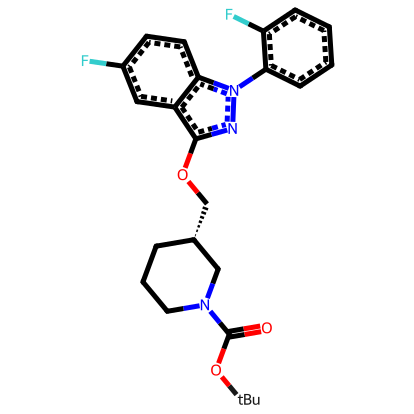 CC(C)(C)OC(=O)N1CCC[C@H](COc2nn(-c3ccccc3F)c3ccc(F)cc23)C1